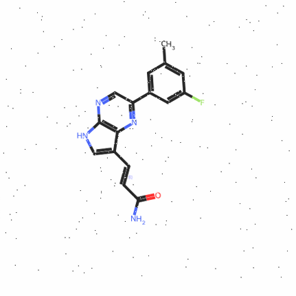 Cc1cc(F)cc(-c2cnc3[nH]cc(/C=C/C(N)=O)c3n2)c1